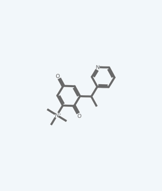 CC(C1=CC(=O)C=C([N+](C)(C)C)C1=O)c1cccnc1